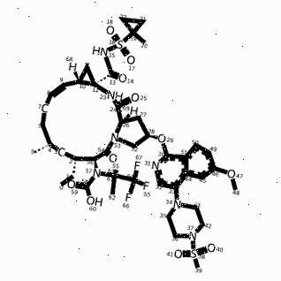 CC[C@@H]1C[C@H](C)CCC=C[C@@H]2C[C@@]2(C(=O)NS(=O)(=O)C2(C)CC2)NC(=O)[C@@H]2C[C@@H](Oc3ncc(N4CCN(S(C)(=O)=O)CC4)c4cc(OC)ccc34)CN2C(=O)[C@H]1N(C(=O)O)C(C)(C)C(F)(F)F